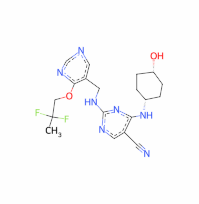 CC(F)(F)COc1ncncc1CNc1ncc(C#N)c(N[C@H]2CC[C@@H](O)CC2)n1